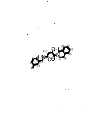 Cc1cccc(CNC(=O)[C@H](C)[C@@H](O)C(=O)N2CCc3ccccc3C2)c1